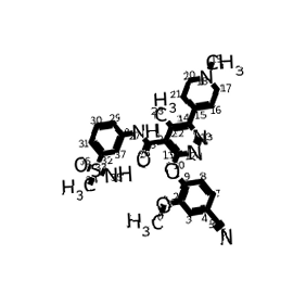 COc1cc(C#N)ccc1Oc1nnc(C2=CCN(C)CC2)c(C)c1C(=O)Nc1cccc(S(C)(=N)=O)c1